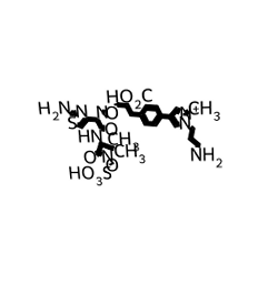 C[n+]1cc(-c2ccc(CCC(O/N=C(\C(=O)N[C@@H]3C(=O)N(OS(=O)(=O)O)C3(C)C)c3csc(N)n3)C(=O)O)cc2)cn1CCCN